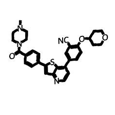 CN1CCN(C(=O)c2ccc(-c3cc4nccc(-c5ccc(OC6CCOCC6)c(C#N)c5)c4s3)cc2)CC1